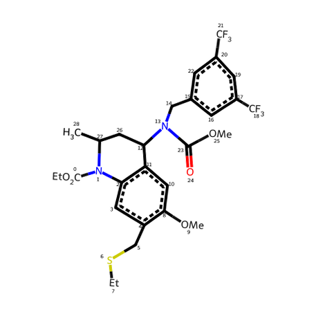 CCOC(=O)N1c2cc(CSCC)c(OC)cc2C(N(Cc2cc(C(F)(F)F)cc(C(F)(F)F)c2)C(=O)OC)CC1C